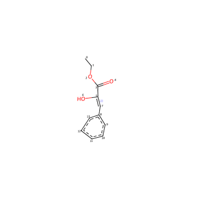 CCOC(=O)/C(O)=C/c1ccccc1